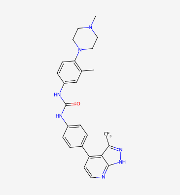 Cc1cc(NC(=O)Nc2ccc(-c3ccnc4[nH]nc(C(F)(F)F)c34)cc2)ccc1N1CCN(C)CC1